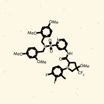 COc1ccc(CN(Cc2ccc(OC)cc2OC)S(=O)(=O)c2cc(NC(=O)C3CC(OC)(C(F)(F)F)CN3c3ccc(F)c(F)c3C)ccn2)c(OC)c1